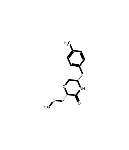 Cc1ccc(C[C@H]2CO[C@@H](COC(C)(C)C)C(=O)N2)cc1